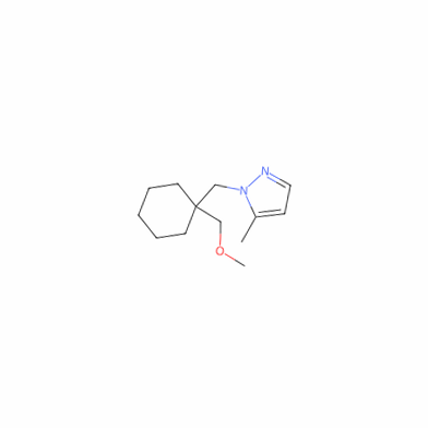 COCC1(Cn2nccc2C)CCCCC1